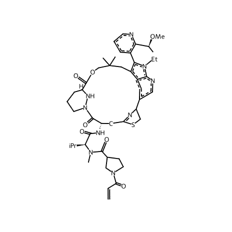 C=CC(=O)N1CCC(C(=O)N(C)[C@H](C(=O)N[C@H]2CC3=NC(CS3)c3cnc4c(c3)c(c(-c3cccnc3[C@H](C)OC)n4CC)CC(C)(C)COC(=O)[C@@H]3CCCN(N3)C2=O)C(C)C)C1